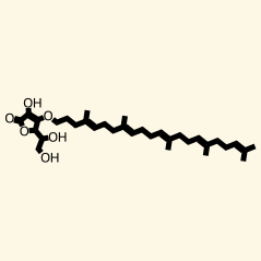 CC(C)=CCC/C(C)=C/CC/C(C)=C/CC/C=C(\C)CC/C=C(\C)CCCOC1=C(O)C(=O)OC1C(O)CO